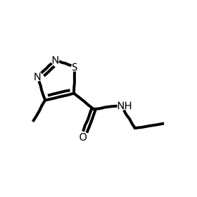 CCNC(=O)c1snnc1C